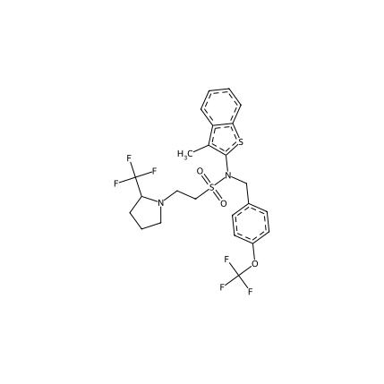 Cc1c(N(Cc2ccc(OC(F)(F)F)cc2)S(=O)(=O)CCN2CCCC2C(F)(F)F)sc2ccccc12